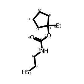 CCC1(OC(=O)NCCS)CCCC1